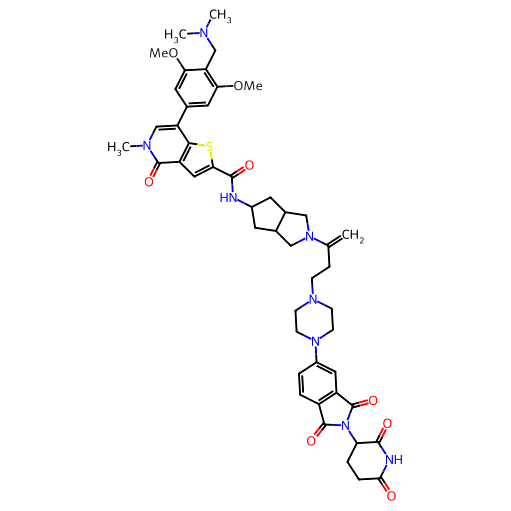 C=C(CCN1CCN(c2ccc3c(c2)C(=O)N(C2CCC(=O)NC2=O)C3=O)CC1)N1CC2CC(NC(=O)c3cc4c(=O)n(C)cc(-c5cc(OC)c(CN(C)C)c(OC)c5)c4s3)CC2C1